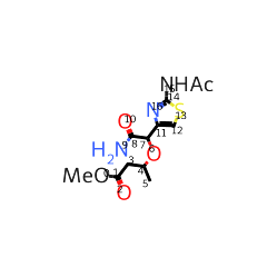 COC(=O)CC(C)OC(C(N)=O)c1csc(NC(C)=O)n1